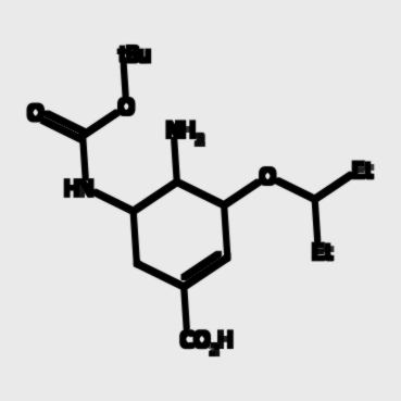 CCC(CC)OC1C=C(C(=O)O)CC(NC(=O)OC(C)(C)C)C1N